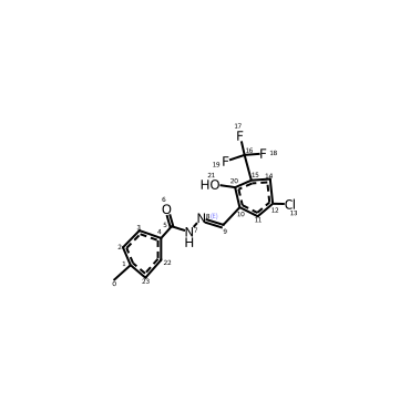 Cc1ccc(C(=O)N/N=C/c2cc(Cl)cc(C(F)(F)F)c2O)cc1